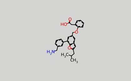 CC(C)Cc1cc2cc(COc3ccccc3CC(=O)O)cc(-c3cccc(CN)c3)c2o1